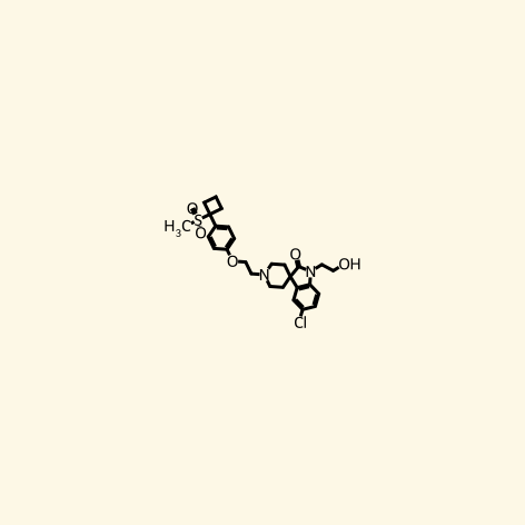 CS(=O)(=O)C1(c2ccc(OCCN3CCC4(CC3)C(=O)N(CCO)c3ccc(Cl)cc34)cc2)CCC1